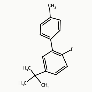 Cc1ccc(-c2cc(C(C)(C)C)ccc2F)cc1